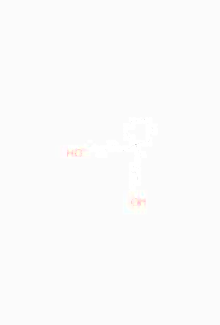 OC/C=C/CC1(C/C=C/CO)CCCCC1